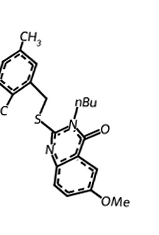 CCCCn1c(SCc2cc(C)ccc2C)nc2ccc(OC)cc2c1=O